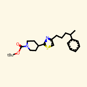 CC(CCCc1csc(C2CCN(C(=O)OC(C)(C)C)CC2)n1)c1ccccc1